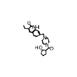 CCc1cc2ccc(CN3CCN(C(=O)C4CCCC4O)CC3)cc2[nH]c1=O